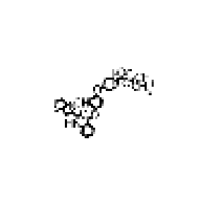 Cn1c(C(=O)Nc2ccccc2COc2ccc(OC3CCN(C(=O)OC(C)(C)C)CC3)cc2)cc2sccc21